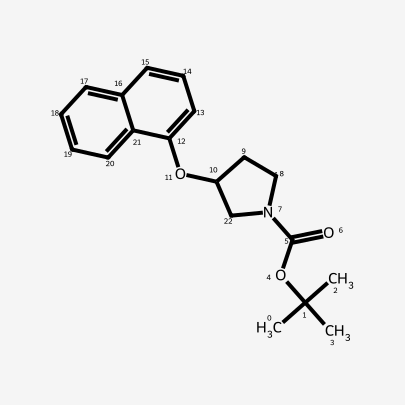 CC(C)(C)OC(=O)N1[CH]CC(Oc2cccc3ccccc23)C1